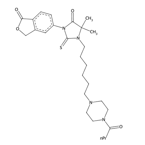 CCCC(=O)N1CCN(CCCCCCN2C(=S)N(c3ccc4c(c3)COC4=O)C(=O)C2(C)C)CC1